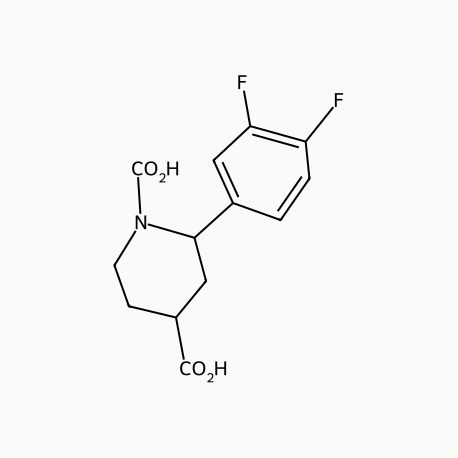 O=C(O)C1CCN(C(=O)O)C(c2ccc(F)c(F)c2)C1